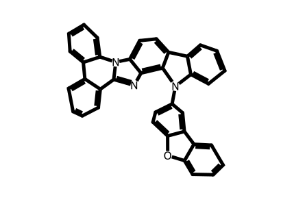 c1ccc2c(c1)oc1ccc(-n3c4ccccc4c4ccc5c(nc6c7ccccc7c7ccccc7n56)c43)cc12